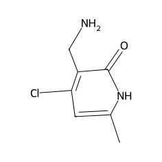 Cc1cc(Cl)c(CN)c(=O)[nH]1